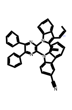 C=Cc1c(/C=C\C)c2ccccc2n1-c1nc(-c2ccccc2)c(-c2ccccc2)nc1-n1c2ccccc2c2cc(C#N)ccc21